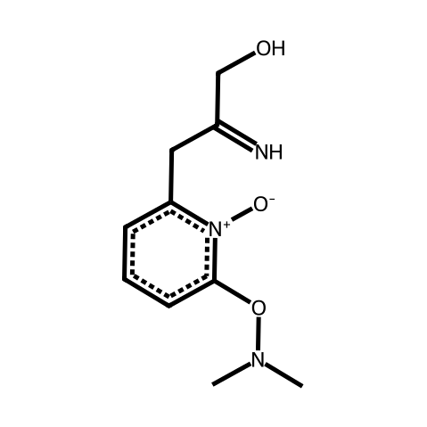 CN(C)Oc1cccc(CC(=N)CO)[n+]1[O-]